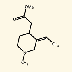 C/C=C1\CN(C)CCC1CC(=O)OC